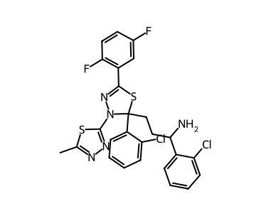 Cc1nnc(N2N=C(c3cc(F)ccc3F)SC2(CCC(N)c2ccccc2Cl)c2ccccc2Cl)s1